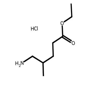 CCOC(=O)CCC(C)CN.Cl